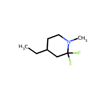 CCC1CCN(C)C(F)(F)C1